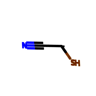 N#C[CH]S